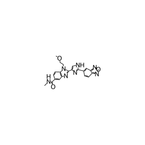 CNC(=O)c1ccc2c(c1)nc(-c1c[nH]c(-c3ccc4nonc4c3)n1)n2CCOC